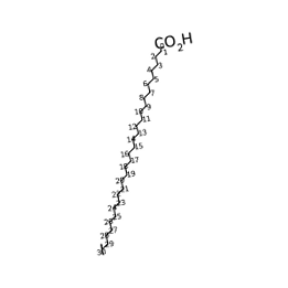 O=C(O)CCCCCCCCCCCCCCCCCCCCCCCCCCCCCI